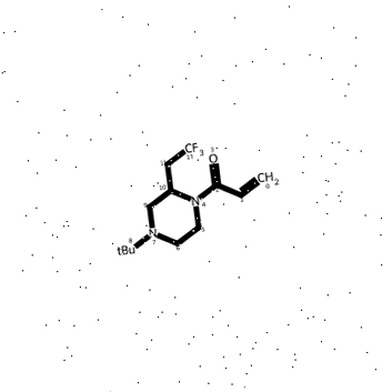 C=CC(=O)N1CCN(C(C)(C)C)CC1CC(F)(F)F